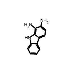 Nc1ccc2c([nH]c3ccccc32)c1N